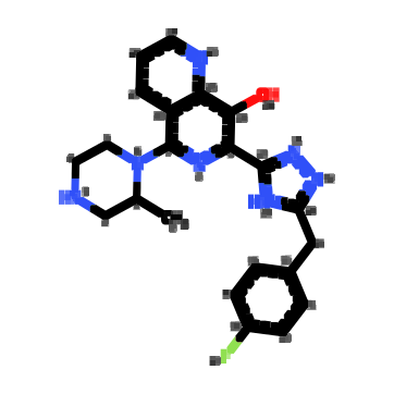 CC1CNCCN1c1nc(-c2nnc(Cc3ccc(F)cc3)[nH]2)c(O)c2ncccc12